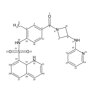 Cc1cc(C(=O)N2CC(Nc3ccccn3)C2)ccc1NS(=O)(=O)C1=CC=CC2=CC=CNC21